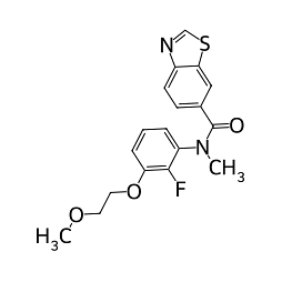 COCCOc1cccc(N(C)C(=O)c2ccc3ncsc3c2)c1F